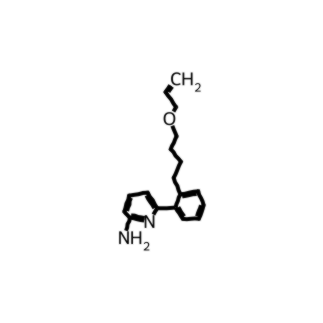 C=CCOCCCCc1ccccc1-c1cccc(N)n1